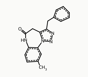 Cc1ccc2c(c1)-n1nnc(Cc3ccccc3)c1CC(=O)N2